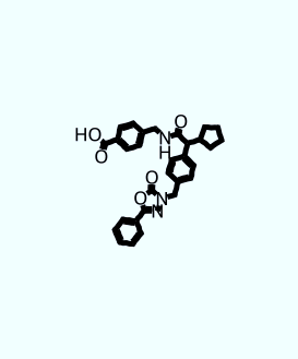 O=C(O)c1ccc(CNC(=O)C(c2ccc(Cn3nc(-c4ccccc4)oc3=O)cc2)C2CCCC2)cc1